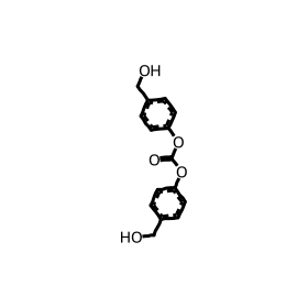 O=C(Oc1ccc(CO)cc1)Oc1ccc(CO)cc1